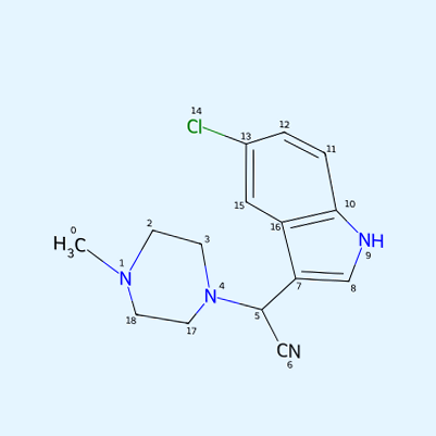 CN1CCN(C(C#N)c2c[nH]c3ccc(Cl)cc23)CC1